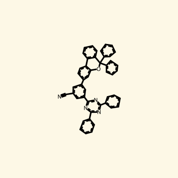 N#Cc1cc(-c2ccc3c(c2)OC(c2ccccc2)(c2ccccc2)c2ccccc2-3)cc(-c2nc(-c3ccccc3)nc(-c3ccccc3)n2)c1